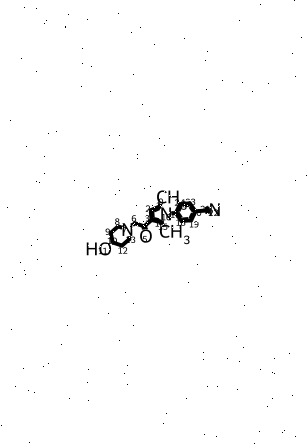 Cc1cc(C(=O)CN2CCC(O)CC2)c(C)n1-c1ccc(C#N)cc1